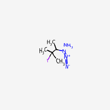 CC(N=[N+]=[N-])C(C)(C)I.N